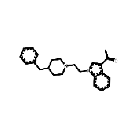 CC(=O)c1cn(CCN2CCC(Cc3ccccc3)CC2)c2ccccc12